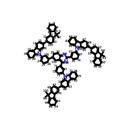 CC1(C)c2ccccc2-c2cc(-c3ccc4c5ccccc5n(-c5cccc(-c6ccc7nc(-c8cccc(-n9c%10ccccc%10c%10ccc(-c%11ccc%12c(c%11)-c%11ccccc%11C%12(C)C)cc%109)c8)nc(-c8cccc(-n9c%10ccccc%10c%10ccc(-c%11ccc%12c(c%11)-c%11ccccc%11C%12(C)C)cc%109)c8)c7c6)c5)c4c3)ccc21